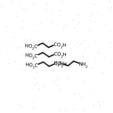 NCCN.O=C(O)CCC(=O)O.O=C(O)CCC(=O)O.O=C(O)CCC(=O)O